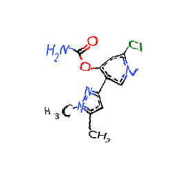 Cc1cc(-c2cnc(Cl)cc2OC(N)=O)nn1C